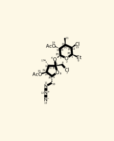 CC[C@H]1O[C@H](O[C@]2(CCl)O[C@H](CN=[N+]=[N-])[C@@H](OC(C)=O)[C@@H]2C)[C@H](OC(C)=O)[C@@H](C)[C@H]1Cl